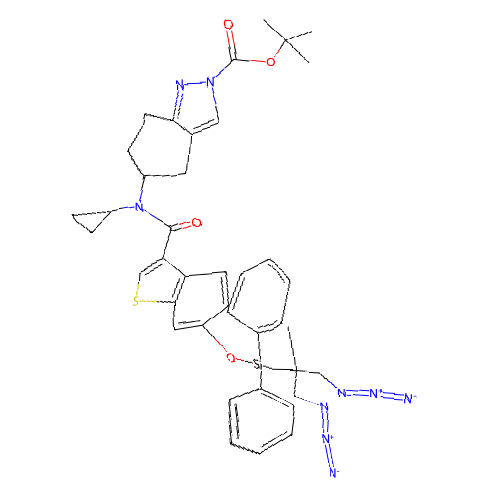 CC(C)(C)OC(=O)n1cc2c(n1)CCC(N(C(=O)c1csc3cc(O[Si](c4ccccc4)(c4ccccc4)C(C)(CN=[N+]=[N-])CN=[N+]=[N-])ccc13)C1CC1)C2